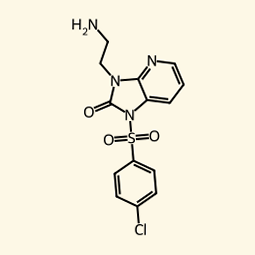 NCCn1c(=O)n(S(=O)(=O)c2ccc(Cl)cc2)c2cccnc21